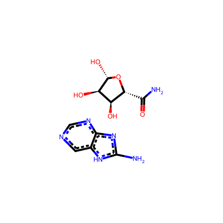 NC(=O)[C@H]1O[C@@H](O)[C@H](O)[C@@H]1O.Nc1nc2ncncc2[nH]1